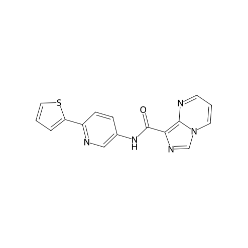 O=C(Nc1ccc(-c2cccs2)nc1)c1ncn2cccnc12